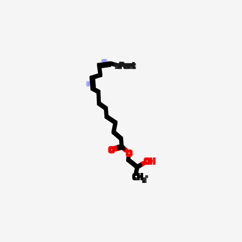 [CH2]C(O)COC(=O)CCCCCCC/C=C\C/C=C\CCCCC